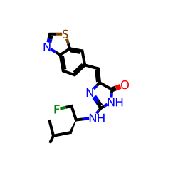 CC(C)C[C@@H](CF)NC1=N/C(=C\c2ccc3ncsc3c2)C(=O)N1